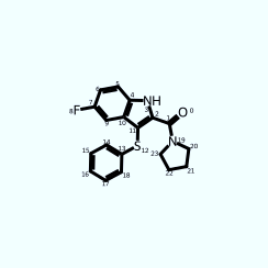 O=C(c1[nH]c2ccc(F)cc2c1Sc1ccccc1)N1CCCC1